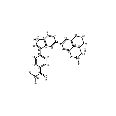 CN1Cc2cc(-c3cnc4[nH]cc(-c5ccc(C(=O)N(C)C)cc5)c4c3)cc3c2[C@@](C)(CCC3)C1